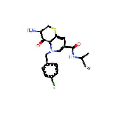 CC(C)C(C)NC(=O)C1=CN(Cc2ccc(Cl)cc2)C2C(=O)[C@@H](N)CSC2=C1